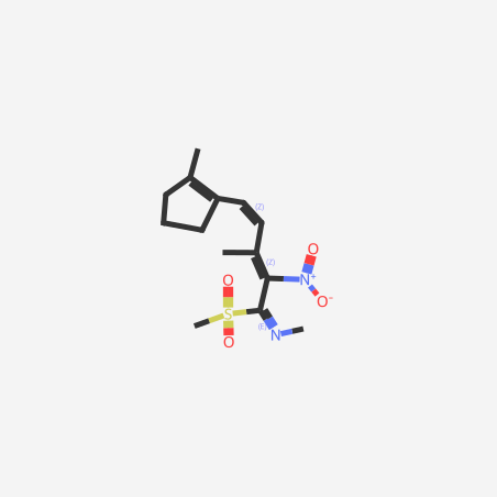 C\N=C(/C(=C(C)/C=C\C1=C(C)CCC1)[N+](=O)[O-])S(C)(=O)=O